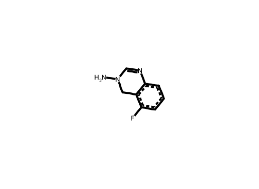 NN1C=Nc2cccc(F)c2C1